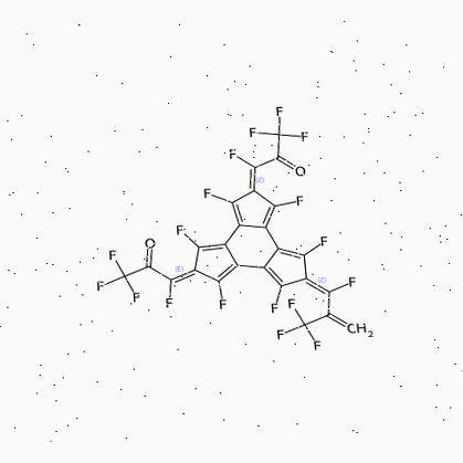 C=C(/C(F)=C1/C(F)=c2c3c(c4c(c2=C1F)=C(F)/C(=C(\F)C(=O)C(F)(F)F)C=4F)=C(F)/C(=C(\F)C(=O)C(F)(F)F)C=3F)C(F)(F)F